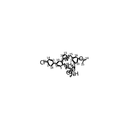 CNS(=O)(=O)CCNc1ccc(-c2ccc(Cl)cc2)cc1-c1ccn(Cc2cc(N)cc(OC(C)C)c2)n1